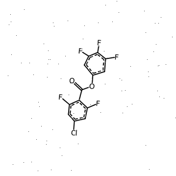 O=C(Oc1cc(F)c(F)c(F)c1)c1c(F)cc(Cl)cc1F